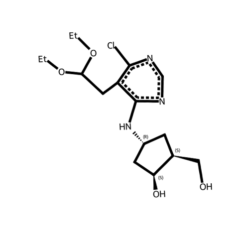 CCOC(Cc1c(Cl)ncnc1N[C@@H]1C[C@@H](CO)[C@@H](O)C1)OCC